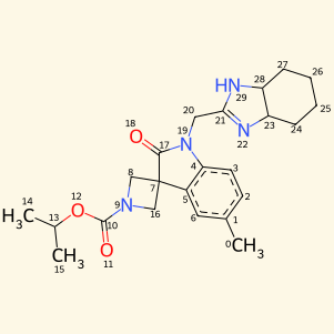 Cc1ccc2c(c1)C1(CN(C(=O)OC(C)C)C1)C(=O)N2CC1=NC2CCCCC2N1